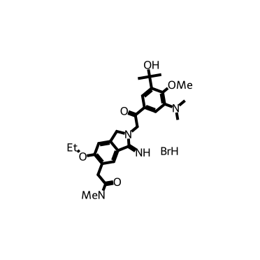 Br.CCOc1cc2c(cc1CC(=O)NC)C(=N)N(CC(=O)c1cc(N(C)C)c(OC)c(C(C)(C)O)c1)C2